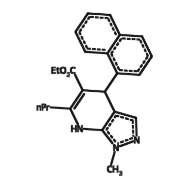 CCCC1=C(C(=O)OCC)C(c2cccc3ccccc23)c2cnn(C)c2N1